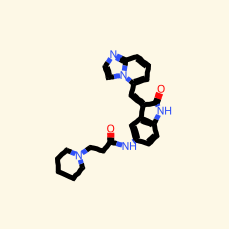 O=C(CCN1CCCCC1)Nc1ccc2c(c1)C(=Cc1cccc3nccn13)C(=O)N2